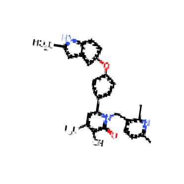 Cc1ccc(Cn2c(-c3ccc(Oc4ccc5[nH]c(C(=O)O)cc5c4)cc3)cc(C(F)(F)F)c(C#N)c2=O)c(C)n1